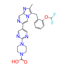 Cc1nc2cnc(-c3cnc(N4CCN(C(=O)O)CC4)nc3)cn2c1Cc1ccccc1OC(F)F